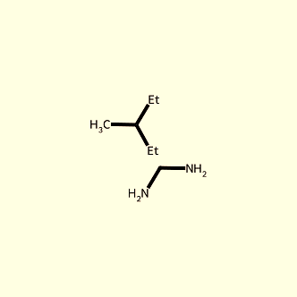 CCC(C)CC.NCN